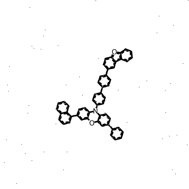 c1ccc(-c2ccc3c(c2)Oc2cc(-c4cccc5ccccc45)ccc2N3c2ccc(-c3ccc(-c4ccc5oc6ccccc6c5c4)cc3)cc2)cc1